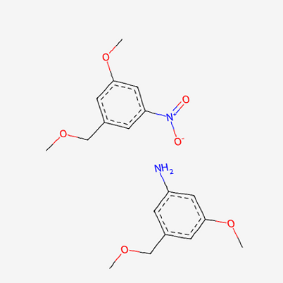 COCc1cc(N)cc(OC)c1.COCc1cc(OC)cc([N+](=O)[O-])c1